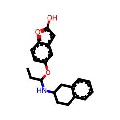 CCC(NC1CCc2ccccc2C1)Oc1ccc2oc(O)cc2c1